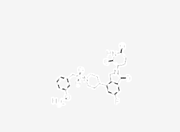 COc1cccc(CS(=O)(=O)N2CCC(c3cc(F)cc4c3CN(C3CCC(=O)NC3=O)C4=O)CC2)c1